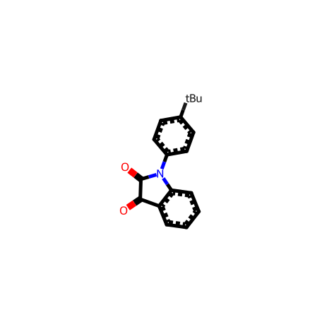 CC(C)(C)c1ccc(N2C(=O)C(=O)c3ccccc32)cc1